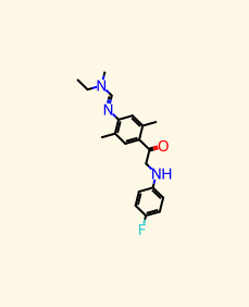 CCN(C)C=Nc1cc(C)c(C(=O)CNc2ccc(F)cc2)cc1C